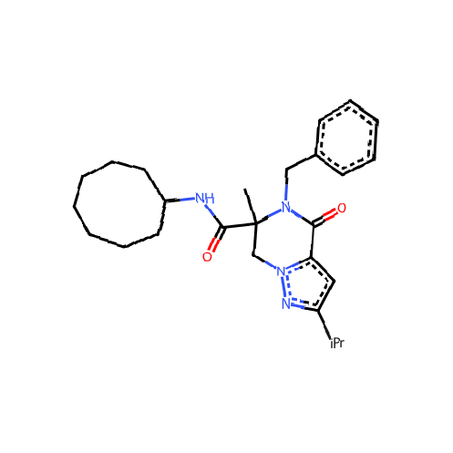 CC(C)c1cc2n(n1)CC(C)(C(=O)NC1CCCCCCC1)N(Cc1ccccc1)C2=O